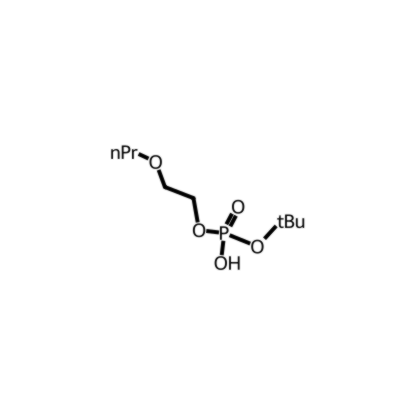 CCCOCCOP(=O)(O)OC(C)(C)C